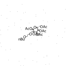 CCCCOCCOC[C@@]1(OC(C)=O)[C@@H](OC(C)=O)O[C@H](COC(C)=O)[C@@H](OC(C)=O)[C@@H]1OC(C)=O